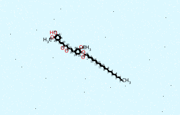 CCCCCCCCCC=CC=CC=CC=CC=CC(=O)Oc1ccc(C=CC(=O)CC(=O)C=Cc2ccc(O)c(OC)c2)cc1OC